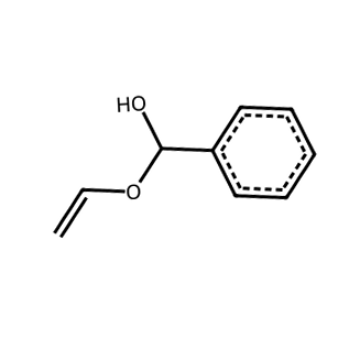 C=COC(O)c1ccccc1